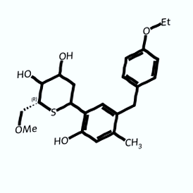 CCOc1ccc(Cc2cc(C3CC(O)C(O)[C@@H](COC)S3)c(O)cc2C)cc1